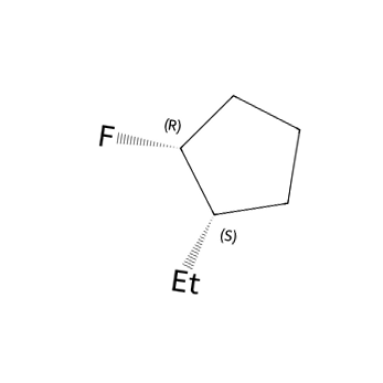 CC[C@H]1CCC[C@H]1F